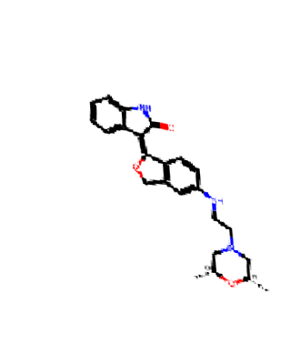 C[C@@H]1CN(CCNc2ccc3c(c2)COC3=C2C(=O)Nc3ccccc32)C[C@H](C)O1